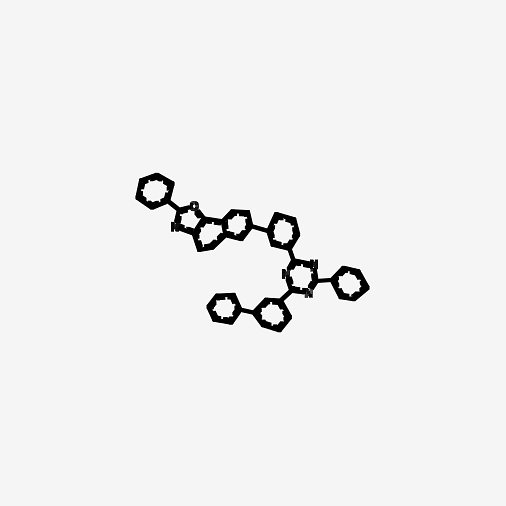 c1ccc(-c2cccc(-c3nc(-c4ccccc4)nc(-c4cccc(-c5ccc6c(ccc7nc(-c8ccccc8)oc76)c5)c4)n3)c2)cc1